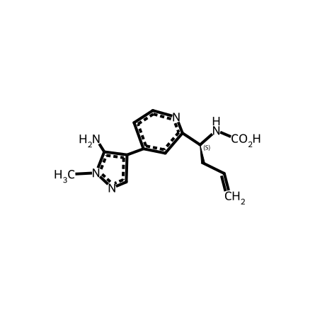 C=CC[C@H](NC(=O)O)c1cc(-c2cnn(C)c2N)ccn1